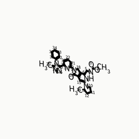 COC(=O)NCc1nc(N2CCC[C@H]2C)cc2c1CN(c1cccc(-c3nnc(C)n3-c3ccccc3)n1)C2=O